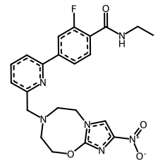 CCNC(=O)c1ccc(-c2cccc(CN3CCOc4nc([N+](=O)[O-])cn4CC3)n2)cc1F